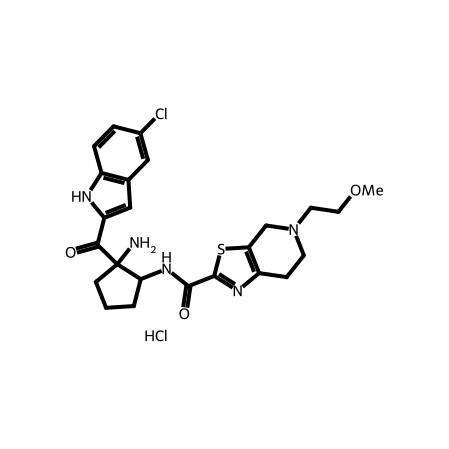 COCCN1CCc2nc(C(=O)NC3CCCC3(N)C(=O)c3cc4cc(Cl)ccc4[nH]3)sc2C1.Cl